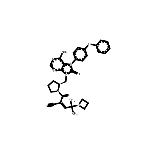 CC(C)(/C=C(/C#N)C(=O)N1CCC[C@H]1Cn1c(=O)n(-c2ccc(Oc3ccccc3)cc2)c2c(N)ncnc21)N1CCC1